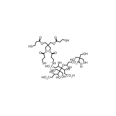 O=C(CCS)OCC(COC(=O)CCS)(COC(=O)CCS)COC(=O)CCS.O=C(O)CC(S)OC(C(S)CC(=O)O)(C(S)CC(=O)O)C(CO)(CO)C(O)C(S)CC(=O)O.OCC(CO)(CO)CO